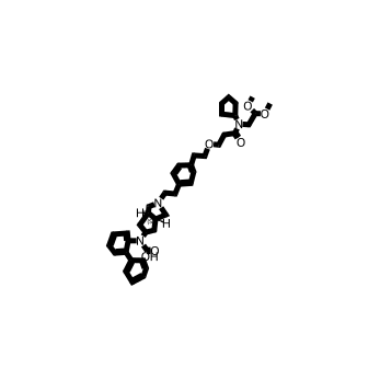 COC(CN(C(=O)CCOCCc1ccc(CCN2C[C@H]3CC(N(C(=O)O)c4ccccc4-c4ccccc4)C[C@H]3C2)cc1)C1CCCC1)OC